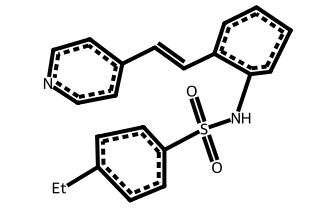 CCc1ccc(S(=O)(=O)Nc2ccccc2C=Cc2ccncc2)cc1